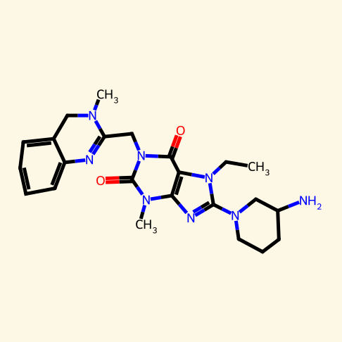 CCn1c(N2CCCC(N)C2)nc2c1c(=O)n(CC1=Nc3ccccc3CN1C)c(=O)n2C